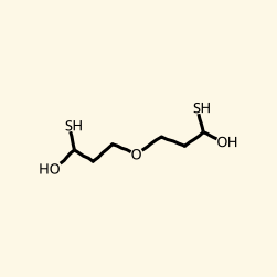 OC(S)CCOCCC(O)S